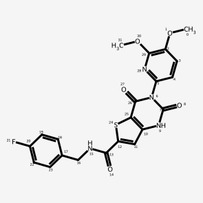 COc1ccc(-n2c(=O)[nH]c3cc(C(=O)NCc4ccc(F)cc4)sc3c2=O)nc1OC